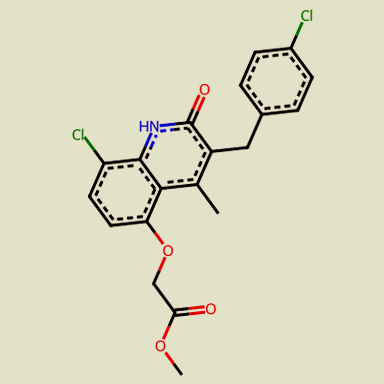 COC(=O)COc1ccc(Cl)c2[nH]c(=O)c(Cc3ccc(Cl)cc3)c(C)c12